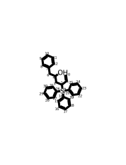 C=CC(CC(O)Cc1ccccc1)[Si](c1ccccc1)(c1ccccc1)c1ccccc1